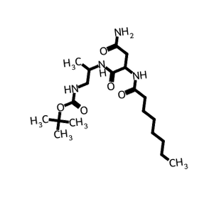 CCCCCCCC(=O)NC(CC(N)=O)C(=O)NC(C)CNC(=O)OC(C)(C)C